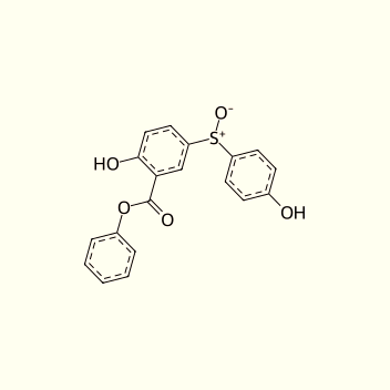 O=C(Oc1ccccc1)c1cc([S+]([O-])c2ccc(O)cc2)ccc1O